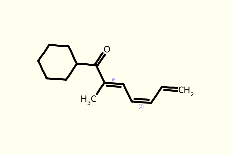 C=C/C=C\C=C(/C)C(=O)C1CCCCC1